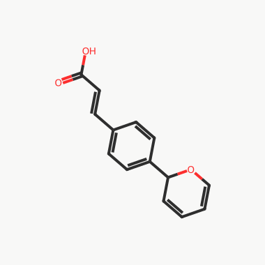 O=C(O)C=Cc1ccc(C2C=CC=CO2)cc1